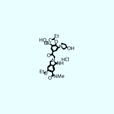 CCOc1cc2c(cc1C(=O)NC)C(=N)N(CC(=O)c1cc(N3CCC(O)C3)c(OC(CC)C(=O)O)c(C(C)(C)C)c1)C2.Cl